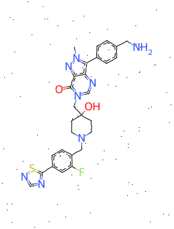 Cn1nc2c(=O)n(CC3(O)CCN(Cc4ccc(-c5ncns5)cc4F)CC3)cnc2c1-c1ccc(CN)cc1